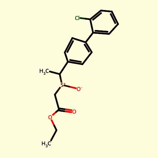 CCOC(=O)C[S+]([O-])C(C)c1ccc(-c2ccccc2Cl)cc1